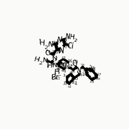 NC(=NC(=O)c1nc(Cl)c(N)nc1N)N[C@@H]1C[N+]2(CC(=O)N(Cc3ccccc3)Cc3ccccc3)CCC1CC2.[Br-]